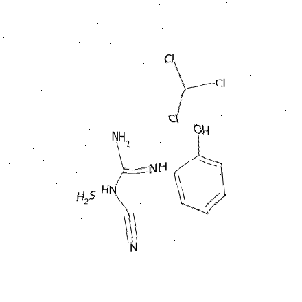 ClC(Cl)Cl.N#CNC(=N)N.Oc1ccccc1.S